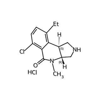 CCc1ccc(Cl)c2c1[C@H]1CNC[C@@H]1N(C)C2=O.Cl